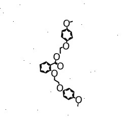 COc1ccc(OCCOC(=O)c2ccccc2OCCOc2ccc(OC)cc2)cc1